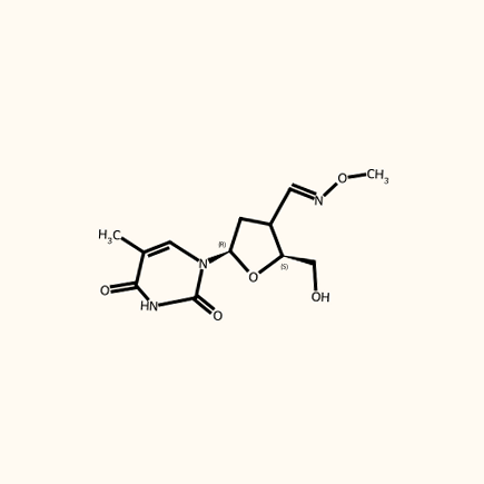 CON=CC1C[C@H](n2cc(C)c(=O)[nH]c2=O)O[C@@H]1CO